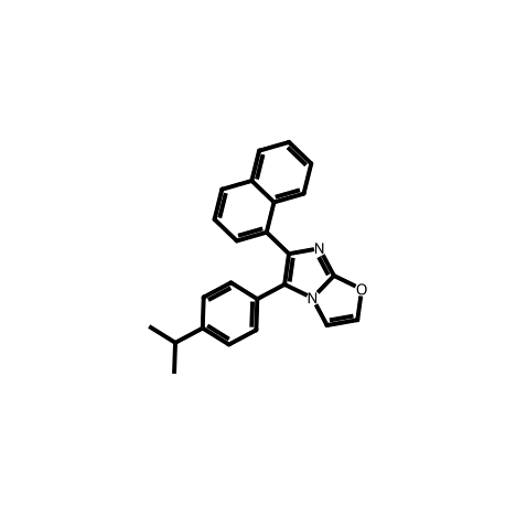 CC(C)c1ccc(-c2c(-c3cccc4ccccc34)nc3occn23)cc1